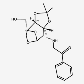 CC1(C)O[C@@H]2[C@H](NCC(=O)c3ccccc3)C3OC[C@](CO)(O3)[C@@H]2O1